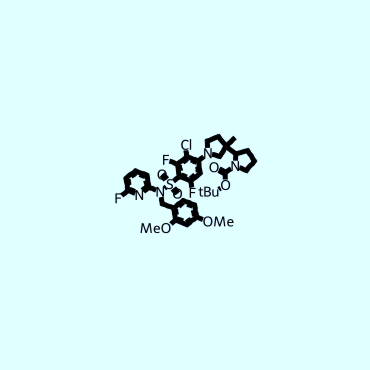 COc1ccc(CN(c2cccc(F)n2)S(=O)(=O)c2c(F)cc(N3CCC(C)(C4CCCN4C(=O)OC(C)(C)C)C3)c(Cl)c2F)c(OC)c1